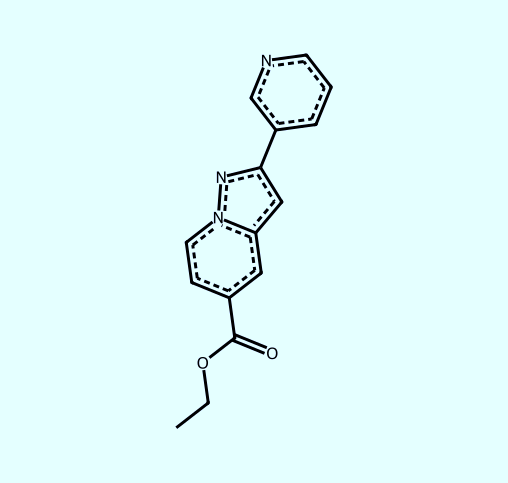 CCOC(=O)c1ccn2nc(-c3cccnc3)cc2c1